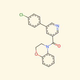 O=C(c1cncc(-c2ccc(Cl)cc2)c1)N1CCOc2ccccc21